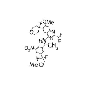 COCC(F)(F)c1cc([C@@H](C)Nc2nc(C(F)F)nc3cc(OC)c(C4(F)CCOCC4)cc23)cc([N+](=O)[O-])c1